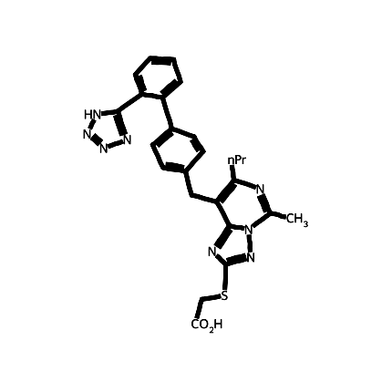 CCCc1nc(C)n2nc(SCC(=O)O)nc2c1Cc1ccc(-c2ccccc2-c2nnn[nH]2)cc1